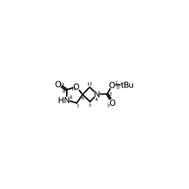 CC(C)(C)OC(=O)N1CC2(CNC(=O)O2)C1